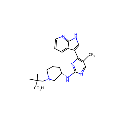 CC(C)(CN1CCC[C@H](Nc2ncc(C(F)(F)F)c(-c3c[nH]c4ncccc34)n2)C1)C(=O)O